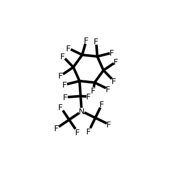 FC(F)(F)N(C(F)(F)F)C(F)(F)C1(F)C(F)(F)C(F)(F)C(F)(F)C(F)(F)C1(F)F